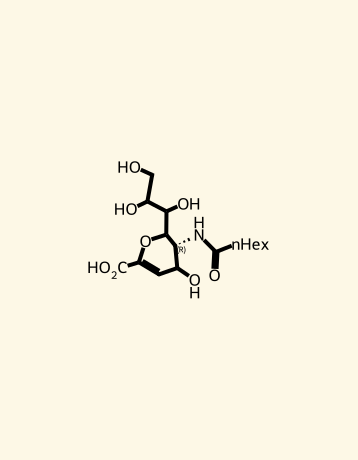 CCCCCCC(=O)N[C@@H]1C(O)C=C(C(=O)O)OC1C(O)C(O)CO